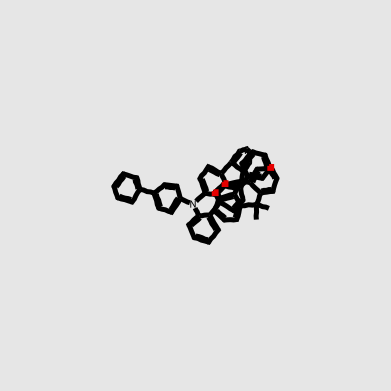 CC1(C)c2ccccc2C2(c3ccccc3-c3ccc(N(c4ccc(-c5ccccc5)cc4)c4ccccc4-c4ccc(-c5ccccc5)cc4)cc32)c2ccccc21